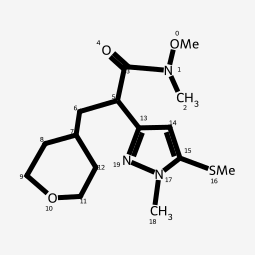 CON(C)C(=O)C(CC1CCOCC1)c1cc(SC)n(C)n1